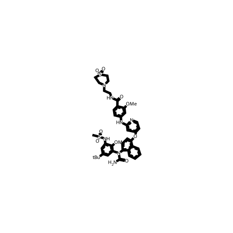 COc1cc(Nc2cc(Oc3ccc(N(C(N)=O)c4cc(C(C)(C)C)cc(NS(C)(=O)=O)c4OC)c4ccccc34)ccn2)ccc1C(=O)NCCN1CCS(=O)(=O)CC1